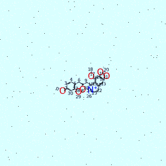 COc1ccc(CC(=O)CC2c3c(cc4c(c3OC)OCO4)CC[N+]2(C)C)c(OC)c1